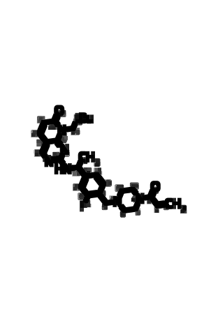 C=CC(=O)N1CCN(Cc2ccc(C(C)Nc3ncc4ccc(=O)n(CC(C)(C)C)c4n3)cc2F)CC1